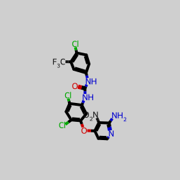 Nc1nccc(Oc2cc(NC(=O)Nc3ccc(Cl)c(C(F)(F)F)c3)c(Cl)cc2Cl)c1[N+](=O)[O-]